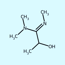 CN=C(C(C)O)N(C)C